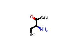 CC(C)CC(N)C(=O)C(C)(C)C